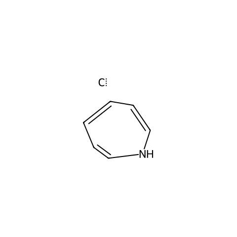 C1=CC=CNC=C1.[C]